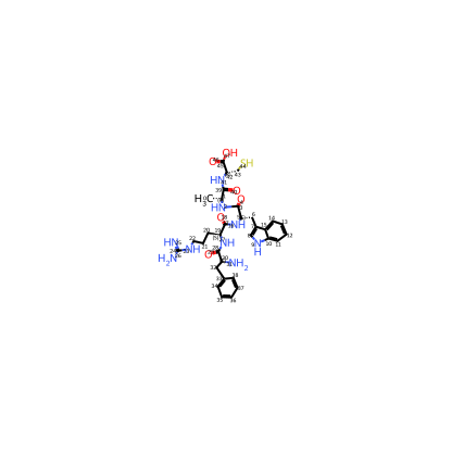 C[C@@H](NC(=O)[C@H](Cc1c[nH]c2ccccc12)NC(=O)[C@H](CCCNC(=N)N)NC(=O)[C@@H](N)Cc1ccccc1)C(=O)N[C@@H](CS)C(=O)O